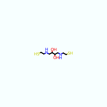 OC(CNCCS)C(O)CNCCS